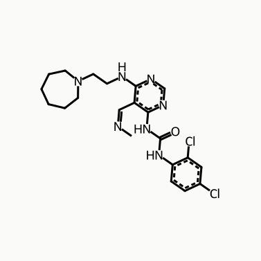 C/N=C\c1c(NCCN2CCCCCC2)ncnc1NC(=O)Nc1ccc(Cl)cc1Cl